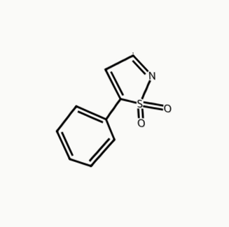 O=S1(=O)N=[C]C=C1c1ccccc1